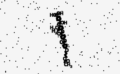 C=CC(=O)OCCCCOc1ccc(C(=O)Oc2ccc(C(=O)Oc3ccc(OC(O)c4ccc(B(O)O)cc4)c(C)c3C)cc2)cc1